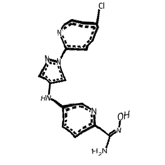 N/C(=N/O)c1ccc(Nc2cnn(-c3ccc(Cl)cn3)c2)cn1